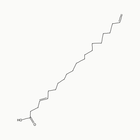 C=CCCCCCCCCCCCCCCCC=CCCC(=O)O